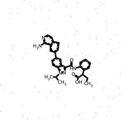 CCC(C(=O)O)c1ccccc1NC(=O)c1nn(C(C)C)c2ccc(-c3ccc4ccnc(N)c4c3)cc12